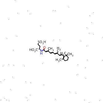 CC1=C(/C=C/C(C)=C/C=C/C(C)=C/C(=O)N[C@@H](CCS(=O)(=O)O)C(=O)O)C(C)(C)CCC1